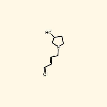 O=C/C=C/CN1CCC(O)C1